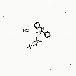 CC(C)(C)NCC(O)CONC(=Nc1ccccc1)c1ccccc1.Cl